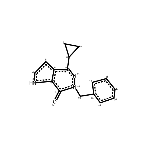 O=c1c2[nH]ccc2c(C2CC2)nn1Cc1ccccc1